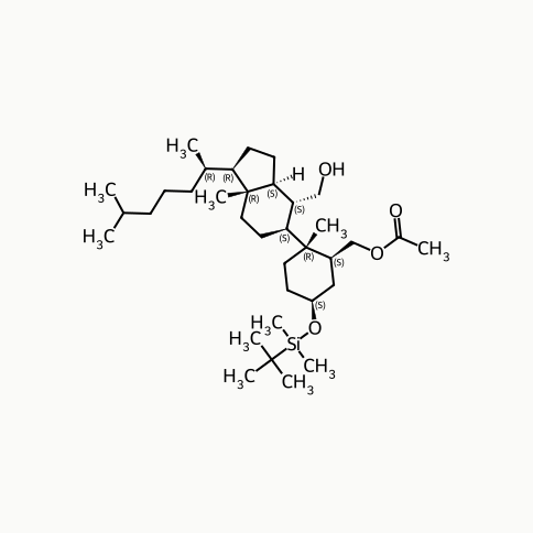 CC(=O)OC[C@H]1C[C@@H](O[Si](C)(C)C(C)(C)C)CC[C@]1(C)[C@H]1CC[C@]2(C)[C@@H]([C@H](C)CCCC(C)C)CC[C@H]2[C@@H]1CO